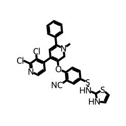 CN1CC(Oc2ccc(SNC3NC=CS3)cc2C#N)=C(c2ccnc(Cl)c2Cl)C=C1c1ccccc1